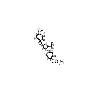 O=C(O)c1ccc(N2C[C@H](Oc3ccc(C(F)(F)F)cc3)C[C@H]2CF)cc1